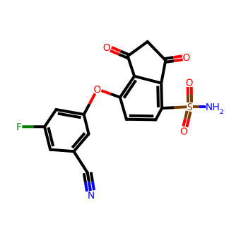 N#Cc1cc(F)cc(Oc2ccc(S(N)(=O)=O)c3c2C(=O)CC3=O)c1